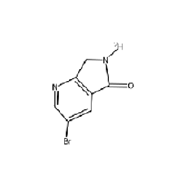 [2H]N1Cc2ncc(Br)cc2C1=O